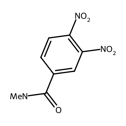 CNC(=O)c1ccc([N+](=O)[O-])c([N+](=O)[O-])c1